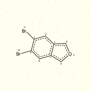 Brc1cc2cocc2cc1Br